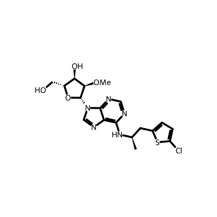 CO[C@@H]1[C@H](O)[C@@H](CO)O[C@H]1n1cnc2c(N[C@H](C)Cc3ccc(Cl)s3)ncnc21